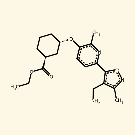 CCOC(=O)[C@H]1CCC[C@H](Oc2ccc(-c3onc(C)c3CN)nc2C)C1